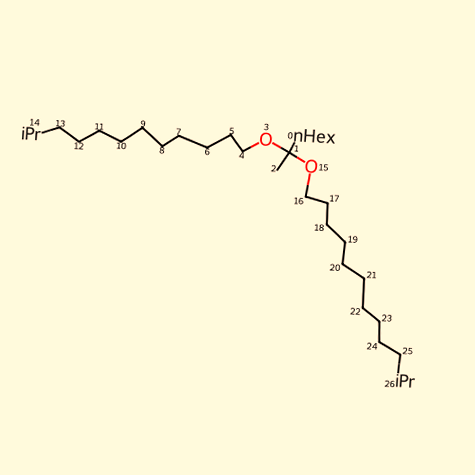 CCCCCCC(C)(OCCCCCCCCCCC(C)C)OCCCCCCCCCCC(C)C